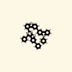 c1ccc(-c2ccc3c(c2)oc2nc(-c4cccc5oc6ccc(-c7ccc8c(c7)c7ccccc7n8-c7ccccc7)cc6c45)nc(-c4ccccc4)c23)cc1